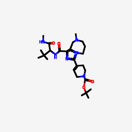 CNC(=O)C(NC(=O)c1nc(C2=CCN(C(=O)OC(C)(C)C)CC2)n2c1CN(C)CCC2)C(C)(C)C